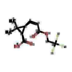 CC1(C)[C@H](C(=O)O)[C@@H]1/C=C\C(=O)OCC(F)(F)F